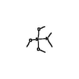 CO[Si](OC)(OC)N(C)C